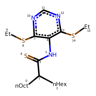 CCCCCCCCC(CCCCCC)C(=S)Nc1c(SCC)ncnc1SCC